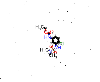 CCOC(=O)Nc1ccc(Cl)c(NS(=O)(=O)N(C)C)c1